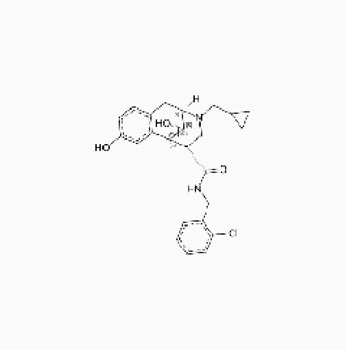 O=C(NCc1ccccc1Cl)[C@@H]1C[C@]23CCN(CC4CC4)[C@H](Cc4ccc(O)cc42)[C@]3(O)C1